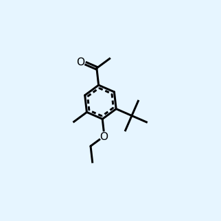 CCOc1c(C)cc(C(C)=O)cc1C(C)(C)C